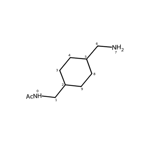 CC(=O)NCC1CCC(CN)CC1